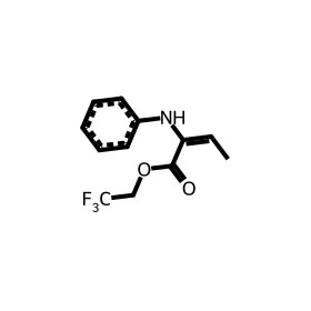 CC=C(Nc1ccccc1)C(=O)OCC(F)(F)F